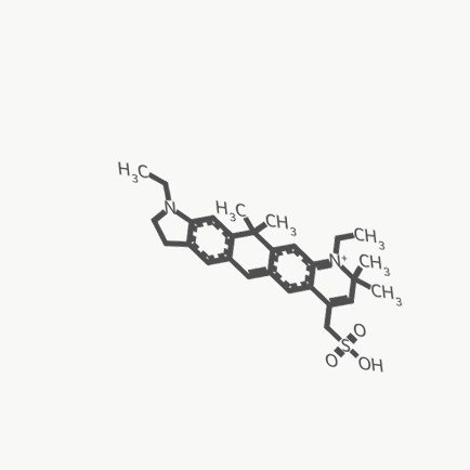 CCN1CCc2cc3c(cc21)C(C)(C)c1cc2c(cc1=C3)C(CS(=O)(=O)O)=CC(C)(C)[N+]=2CC